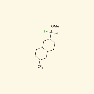 COC(F)(F)C1CCC2CC(C(F)(F)F)CCC2C1